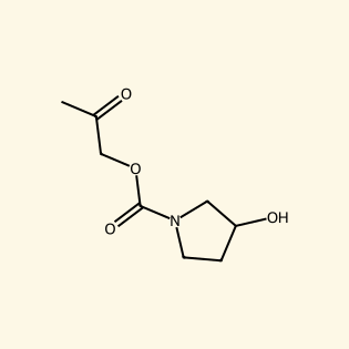 CC(=O)COC(=O)N1CCC(O)C1